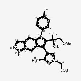 COCC(C)(C)c1c(-c2cn(CC(=O)O)nc2C)c2cc3[nH]ncc3cc2n1-c1ccc(F)cc1